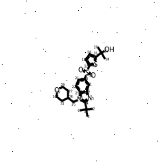 CC(C)(C)c1nc2cc(S(=O)(=O)c3ccc(C(C)(C)O)s3)ccc2n1CC1CCOCC1